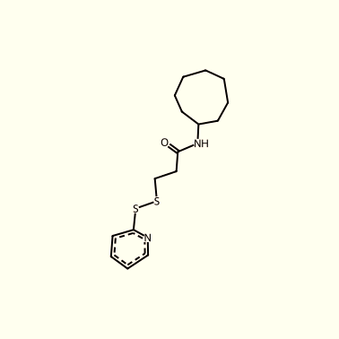 O=C(CCSSc1ccccn1)NC1CCCCCCC1